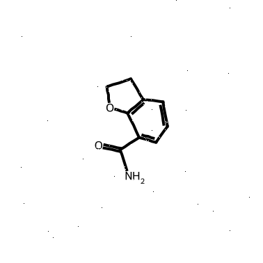 NC(=O)c1cccc2c1OCC2